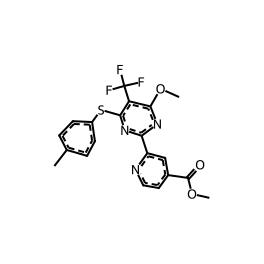 COC(=O)c1ccnc(-c2nc(OC)c(C(F)(F)F)c(Sc3ccc(C)cc3)n2)c1